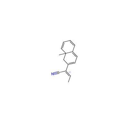 C/C=C(\C#N)C1=CC=C2C=CC=CC2(C)C1